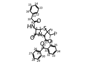 CC1(CI)SC2C(NC(=O)Cc3ccccc3)C(=O)N2C1C(=O)OC(c1ccccc1)c1ccccc1